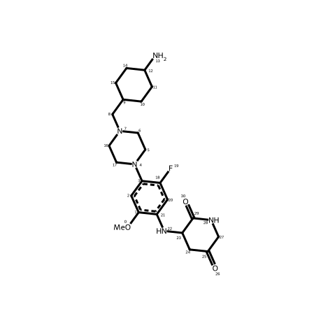 COc1cc(N2CCN(CC3CCC(N)CC3)CC2)c(F)cc1NC1CC(=O)CNC1=O